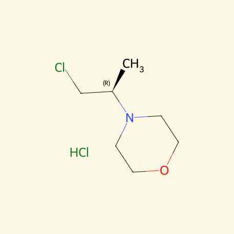 C[C@H](CCl)N1CCOCC1.Cl